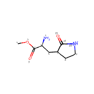 COC(=O)[C@@H](N)CC1CCNC1=O